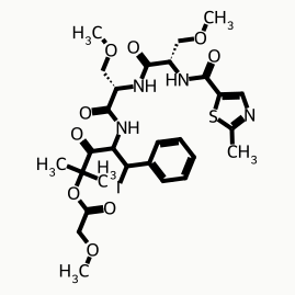 COCC(=O)OC(C)(C)C(=O)C(NC(=O)[C@H](COC)NC(=O)[C@H](COC)NC(=O)c1cnc(C)s1)C(I)c1ccccc1